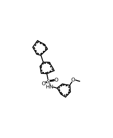 COc1cccc(NS(=O)(=O)c2ccc(-c3ccccc3)cc2)c1